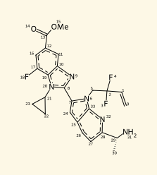 C=CC(F)(F)Cn1c(-c2nc3cc(C(=O)OC)cc(F)c3n2C2CC2)cc2ccc([C@@H](C)N)nc21